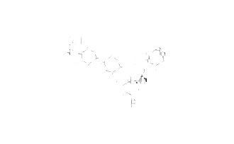 CC1=C([C@H](C/C(=N\O)c2ccnc(C)c2)c2ccc(-c3ccc(C(=O)O)cc3)cc2)CCC(F)=C1